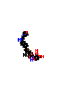 C/C(=C(/C#N)S(=O)(=O)NC[C@H]1OCC[C@@H](O)[C@@H]1O)c1ccc(-c2ccc3cc(NCCN4CCOCC4)ccc3c2)s1